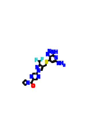 Nc1cc(SCc2cn(-c3cnc(C(=O)N4CCC4)cn3)nc2C(F)F)c2nn[nH]c2n1